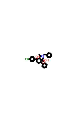 CC1C2C(O)(c3ccc(Cl)cc3)CCC(c3ccccc3)C2(C(=O)O)CN1Cc1ccccc1